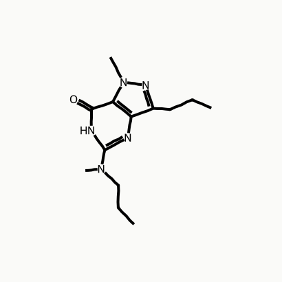 CCCc1nn(C)c2c(=O)[nH]c(N(C)CCC)nc12